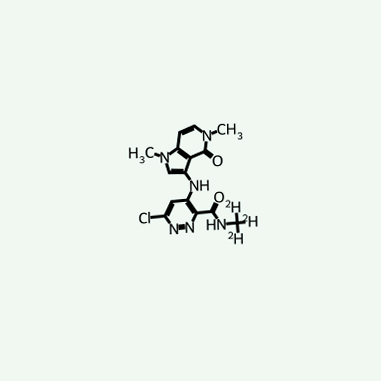 [2H]C([2H])([2H])NC(=O)c1nnc(Cl)cc1Nc1cn(C)c2ccn(C)c(=O)c12